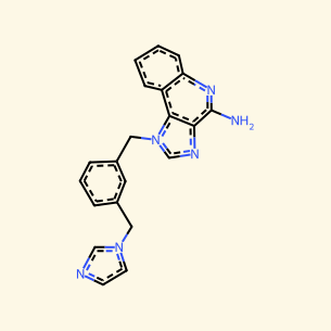 Nc1nc2ccccc2c2c1ncn2Cc1cccc(Cn2ccnc2)c1